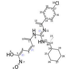 C=C(/C=C\C=C(\O)N=O)N/C(=N\C(=C)c1ccc(Cl)cc1)N[C@H](C)C1CCCCC1